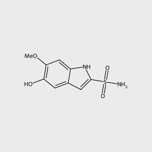 COc1cc2[nH]c(S(N)(=O)=O)cc2cc1O